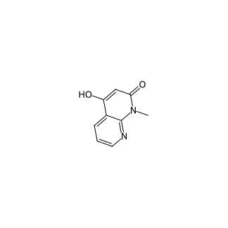 Cn1c(=O)cc(O)c2cccnc21